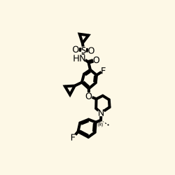 C[C@H](c1ccc(F)cc1)N1CCCC(Oc2cc(F)c(C(=O)NS(=O)(=O)C3CC3)cc2C2CC2)C1